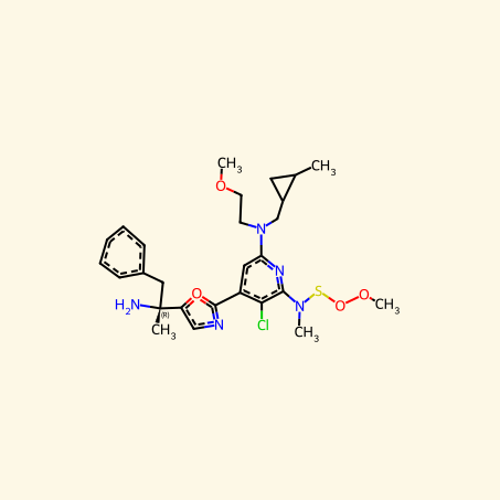 COCCN(CC1CC1C)c1cc(-c2ncc([C@](C)(N)Cc3ccccc3)o2)c(Cl)c(N(C)SOOC)n1